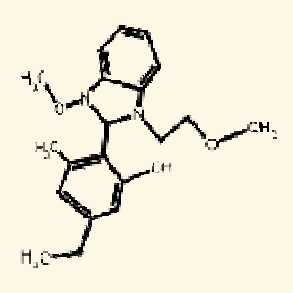 CCc1cc(C)c(C2N(CCOC)c3ccccc3N2OC)c(O)c1